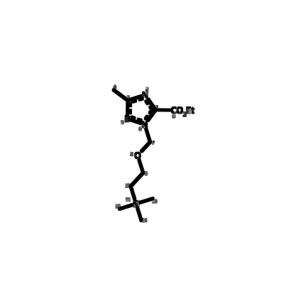 CCOC(=O)c1nc(C)bn1COCC[Si](C)(C)C